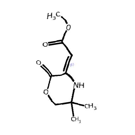 COC(=O)/C=C1/NC(C)(C)COC1=O